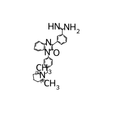 C[C@@H]1CCC[C@H](C)N1Cc1ccc(-n2c(=O)c(-c3cccc(C(=N)N)c3)nc3ccccc32)cc1